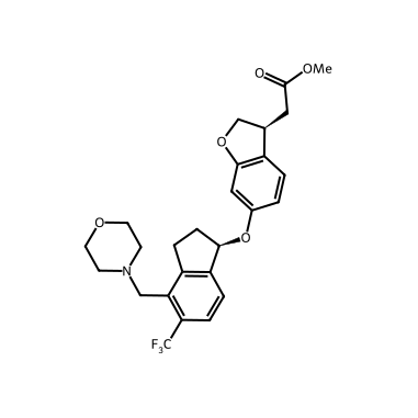 COC(=O)C[C@@H]1COc2cc(O[C@@H]3CCc4c3ccc(C(F)(F)F)c4CN3CCOCC3)ccc21